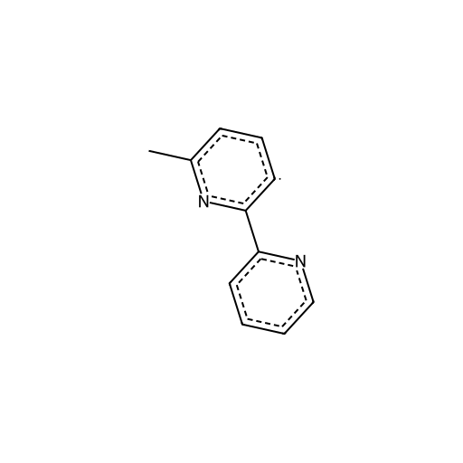 Cc1cc[c]c(-c2ccccn2)n1